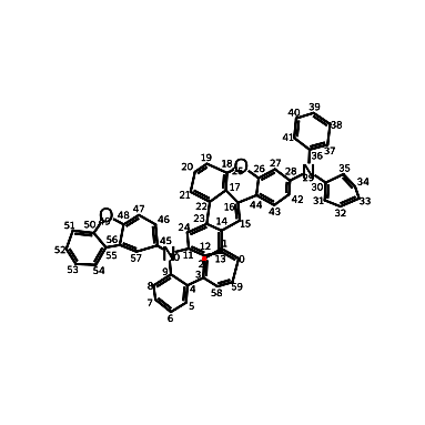 c1ccc(-c2ccccc2N(c2ccc3cc4c5c(cccc5c3c2)Oc2cc(N(c3ccccc3)c3ccccc3)ccc2-4)c2ccc3oc4ccccc4c3c2)cc1